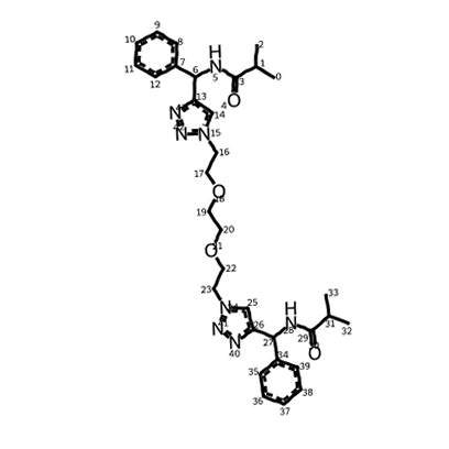 CC(C)C(=O)NC(c1ccccc1)c1cn(CCOCCOCCn2cc(C(NC(=O)C(C)C)c3ccccc3)nn2)nn1